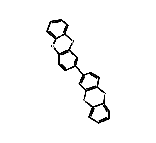 c1ccc2c(c1)Oc1ccc(-c3ccc4c(c3)Sc3ccccc3S4)cc1S2